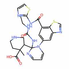 CCNC(=O)NC1(C2CNCCC2(C)C(=O)O)N=CC=CN1c1cc(C(=O)Nc2nccs2)c2scnc2c1